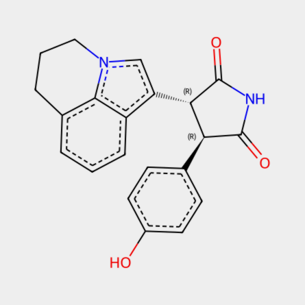 O=C1NC(=O)[C@@H](c2cn3c4c(cccc24)CCC3)[C@@H]1c1ccc(O)cc1